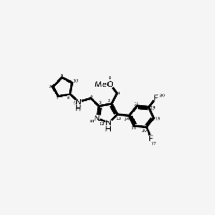 COCc1c(CNC2CCCC2)n[nH]c1-c1cc(F)cc(F)c1